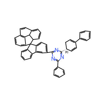 C1=CC2C3C(=C1)C=Cc1cccc(c13)C21c2ccccc2-c2cc(-c3nc(-c4ccccc4)nc([C@H]4C=CC(c5ccccc5)=CC4)n3)ccc21